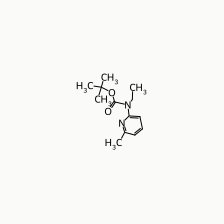 CCN(C(=O)OC(C)(C)C)c1cccc(C)n1